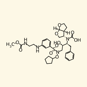 COC(=O)NCCNc1cccc(S(=O)(=O)N(C[C@@H](O)[C@H](Cc2ccccc2)N(C(=O)O)[C@@H]2CO[C@@H]3OCC[C@@H]32)OC2CCCC2)c1